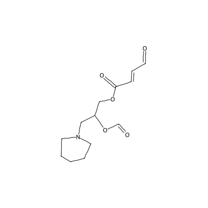 O=C/C=C/C(=O)OCC(CN1CCCCC1)OC=O